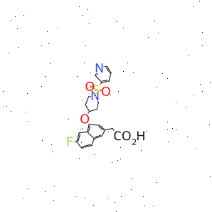 O=C(O)Cc1cc(OC2CCN(S(=O)(=O)c3cccnc3)CC2)c2cc(F)ccc2c1